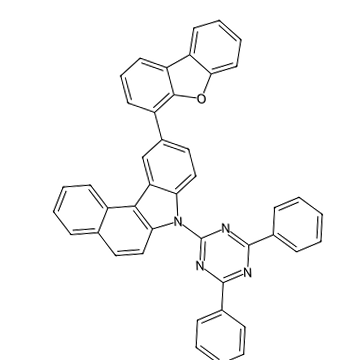 c1ccc(-c2nc(-c3ccccc3)nc(-n3c4ccc(-c5cccc6c5oc5ccccc56)cc4c4c5ccccc5ccc43)n2)cc1